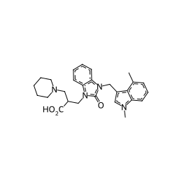 Cc1cccc2c1c(Cn1c(=O)n(CC(CN3CCCCC3)C(=O)O)c3ccccc31)cn2C